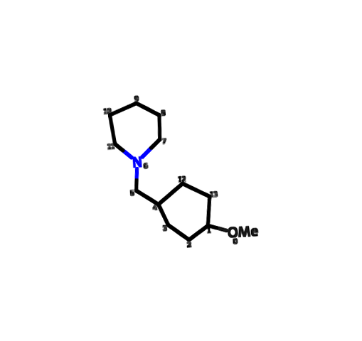 COC1CCC(CN2CCCCC2)CC1